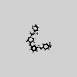 CC1CN(C(=O)Nc2cccnn2)CCC1=Cc1cccc(OCC2CCC(F)(F)CC2)c1